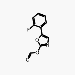 O=COc1ncc(-c2ccccc2F)o1